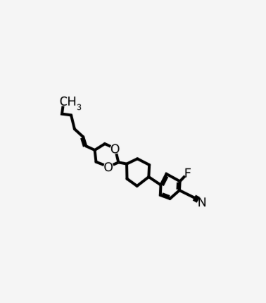 CCCC/C=C/C1COC(C2CCC(c3ccc(C#N)c(F)c3)CC2)OC1